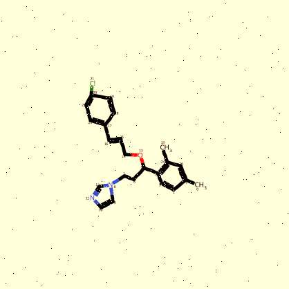 Cc1ccc(C(CCn2ccnc2)OCC=Cc2ccc(Cl)cc2)c(C)c1